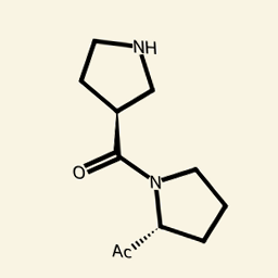 CC(=O)[C@H]1CCCN1C(=O)[C@H]1CCNC1